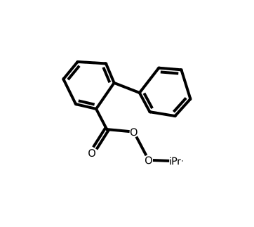 C[C](C)OOC(=O)c1ccccc1-c1ccccc1